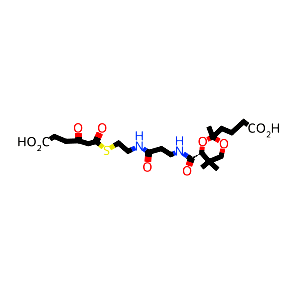 CC1(CCCC(=O)O)OCC(C)(C)[C@H](C(=O)NCCC(=O)NCCSC(=O)CC(=O)CCC(=O)O)O1